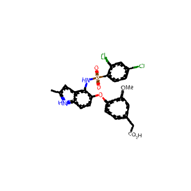 COc1cc(CC(=O)O)ccc1Oc1ccc2[nH]c(C)cc2c1NS(=O)(=O)c1ccc(Cl)cc1Cl